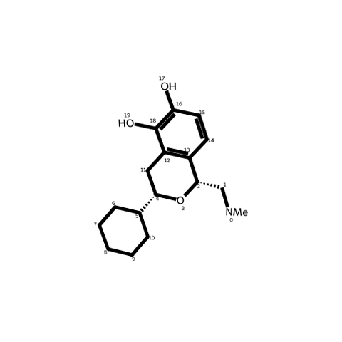 CNC[C@@H]1O[C@H](C2CCCCC2)Cc2c1ccc(O)c2O